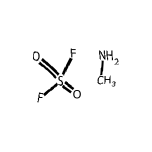 CN.O=S(=O)(F)F